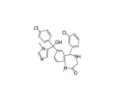 CN1C(=O)CNC(c2cccc(Cl)c2)c2cc(C(O)(c3ccc(Cl)cc3)c3cncn3C)ccc21